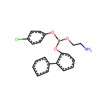 NCCOB(Oc1ccc(Cl)cc1)Oc1ccccc1-c1ccccc1